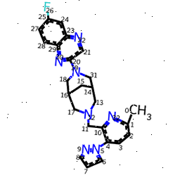 Cc1ccc(-n2cccn2)c(CN2CC3CC(C2)CN(c2cnc4cc(F)ccc4n2)C3)n1